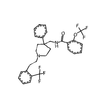 O=C(NCC1(c2ccccc2)CCN(CCc2ccccc2C(F)(F)F)CC1)c1ccccc1OC(F)(F)F